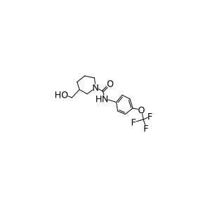 O=C(Nc1ccc(OC(F)(F)F)cc1)N1CCCC(CO)C1